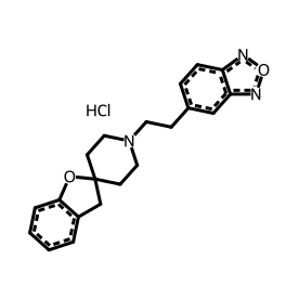 Cl.c1ccc2c(c1)CC1(CCN(CCc3ccc4nonc4c3)CC1)O2